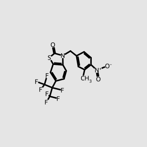 Cc1cc(Cn2c(=O)sc3cc(C(F)(C(F)(F)F)C(F)(F)F)ccc32)ccc1[N+](=O)[O-]